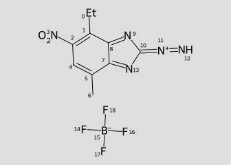 CCc1c([N+](=O)[O-])cc(C)c2c1=NC(=[N+]=N)N=2.F[B-](F)(F)F